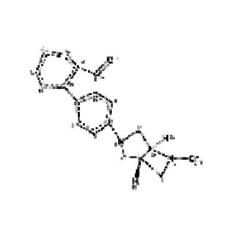 CN1C[C@@H]2CN(c3ccc4c(c3)C(=O)c3ccccc3-4)C[C@H]21